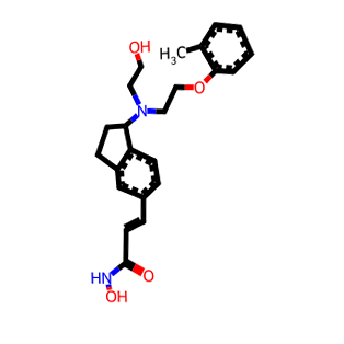 Cc1ccccc1OCCN(CCO)C1CCc2cc(C=CC(=O)NO)ccc21